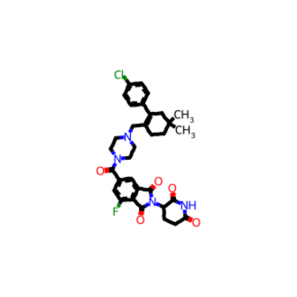 CC1(C)CCC(CN2CCN(C(=O)c3cc(F)c4c(c3)C(=O)N(C3CCC(=O)NC3=O)C4=O)CC2)=C(c2ccc(Cl)cc2)C1